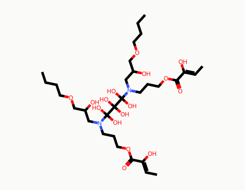 CC=C(O)C(=O)OCCCN(CC(O)COCCCC)C(O)(O)C(O)(O)C(O)(O)N(CCCOC(=O)C(O)=CC)CC(O)COCCCC